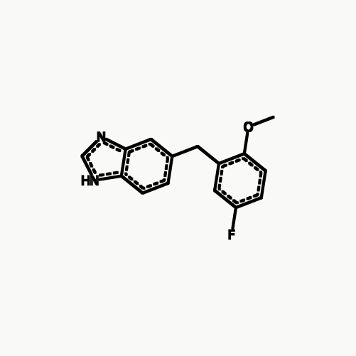 COc1ccc(F)cc1Cc1ccc2[nH]cnc2c1